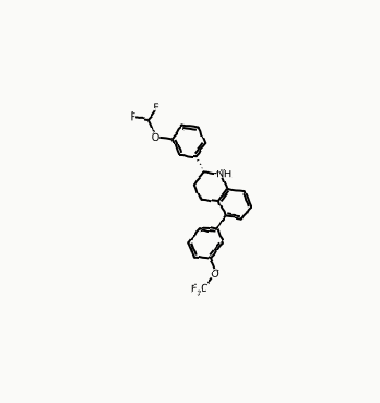 FC(F)Oc1cccc([C@H]2CCc3c(cccc3-c3cccc(OC(F)(F)F)c3)N2)c1